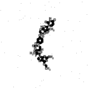 CCOc1nc(N)nc2c1ncn2[C@@H]1O[C@@H]2COP(=O)(Oc3cccc(OP4(=O)CO[C@H]5O[C@@H](n6ccc(=O)[nH]c6=O)[C@](C)(F)[C@@H]5O4)c3)O[C@H]2[C@@]1(C)F